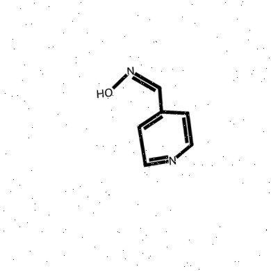 O/N=C\c1ccncc1